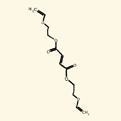 C=COCCOC(=O)C=CC(=O)OCCOC=C